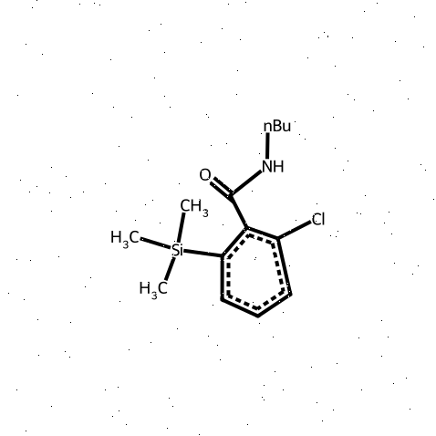 CCCCNC(=O)c1c(Cl)cccc1[Si](C)(C)C